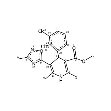 COC(=O)C1=C(C)NC(C)=C(c2nc(C)no2)C1c1cccc(Cl)c1Cl